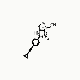 CC(C)C[C@H](N[C@@H](c1ccc(C#CC2CC2)cc1)C(F)(F)F)C(=O)NCC#N